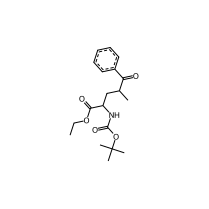 CCOC(=O)C(CC(C)C(=O)c1ccccc1)NC(=O)OC(C)(C)C